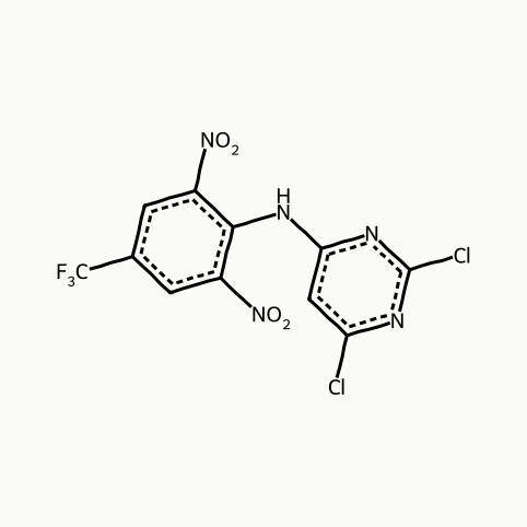 O=[N+]([O-])c1cc(C(F)(F)F)cc([N+](=O)[O-])c1Nc1cc(Cl)nc(Cl)n1